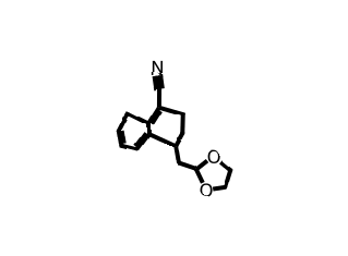 N#CC1=C2CC=CC=C2C(CC2OCCO2)CC1